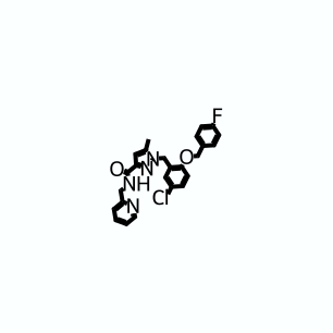 Cc1cc(C(=O)NCc2ccccn2)nn1Cc1cc(Cl)ccc1OCc1ccc(F)cc1